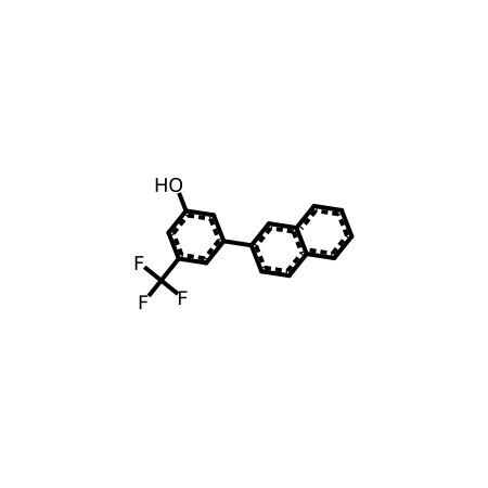 Oc1cc(-c2ccc3ccccc3c2)cc(C(F)(F)F)c1